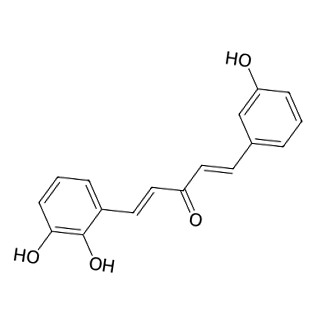 O=C(/C=C/c1cccc(O)c1)/C=C/c1cccc(O)c1O